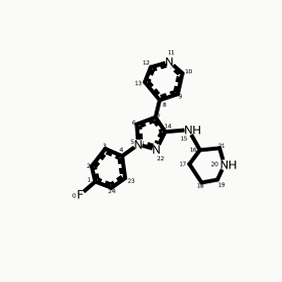 Fc1ccc(-n2cc(-c3ccncc3)c(NC3CCCNC3)n2)cc1